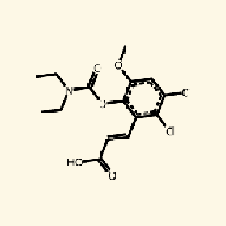 CCN(CC)C(=O)Oc1c(OC)cc(Cl)c(Cl)c1/C=C/C(=O)O